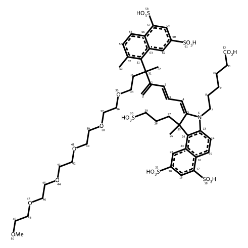 C=C(/C=C/C=C1/N(CCCCCC(=O)O)c2ccc3c(S(=O)(=O)O)cc(S(=O)(=O)O)cc3c2C1(C)CCCS(=O)(=O)O)C(C)(CCOCCOCCOCCOCCOCCOC)c1c(C)ccc2c(S(=O)(=O)O)cc(S(=O)(=O)O)cc12